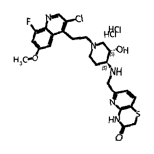 COc1cc(F)c2ncc(Cl)c(CCN3CC[C@H](NCc4ccc5c(n4)NC(=O)CS5)[C@@H](O)C3)c2c1.Cl.Cl